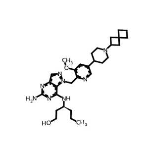 CCC[C@@H](CCO)Nc1nc(N)nc2cnn(Cc3ncc(C4CCN(C5CC6(CCC6)C5)CC4)cc3OC)c12